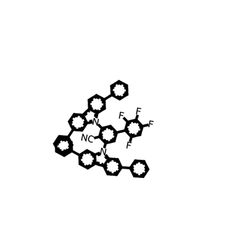 N#Cc1c(-n2c3cc(-c4ccccc4)ccc3c3ccc(-c4ccccc4)cc32)cc(-c2c(F)cc(F)c(F)c2F)cc1-n1c2cc(-c3ccccc3)ccc2c2ccc(-c3ccccc3)cc21